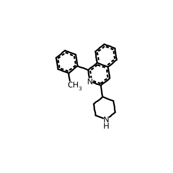 Cc1ccccc1-c1nc(C2CCNCC2)cc2ccccc12